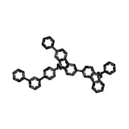 c1ccc(-c2cccc(-c3ccc(-n4c5ccc(-c6ccc7c(c6)c6ccccc6n7-c6ccccc6)cc5c5ccc(-c6ccccc6)cc54)cc3)c2)cc1